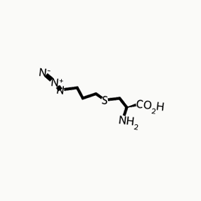 [N-]=[N+]=NCCCSC[C@H](N)C(=O)O